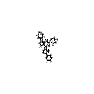 c1ccc(-c2ccn(-c3nc(N4CCOCC4)nc4c3CCN4c3ccncc3)n2)cc1